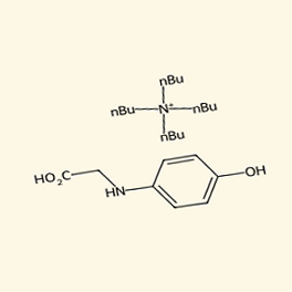 CCCC[N+](CCCC)(CCCC)CCCC.O=C(O)CNc1ccc(O)cc1